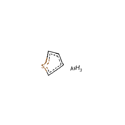 [AsH3].c1ccsc1